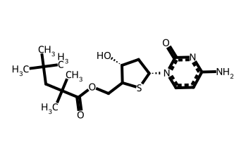 CC(C)(C)CC(C)(C)C(=O)OCC1S[C@@H](n2ccc(N)nc2=O)C[C@H]1O